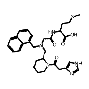 CSCCC(NC(=O)CN(Cc1cccc2ccccc12)C[C@@H]1CCCCN1C(=O)Cc1c[nH]cn1)C(=O)O